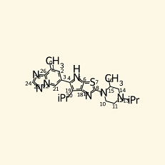 Cc1cc(-c2[nH]c3sc(N4CCN(C(C)C)CC4C)nc3c2C(C)C)cn2ncnc12